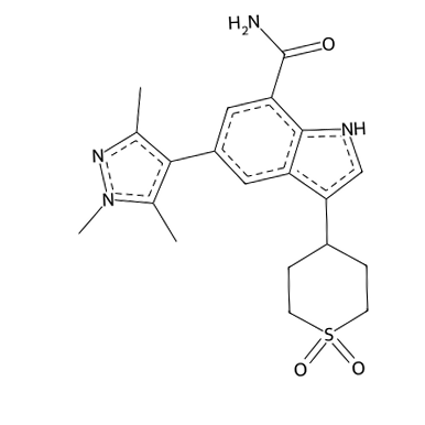 Cc1nn(C)c(C)c1-c1cc(C(N)=O)c2[nH]cc(C3CCS(=O)(=O)CC3)c2c1